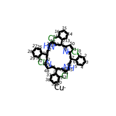 Clc1ccccc1-c1c2nc(c(-c3ccccc3Cl)c3ccc([nH]3)c(-c3ccccc3Cl)c3nc(c(-c4ccccc4Cl)c4ccc1[nH]4)C=C3)C=C2.[Cu]